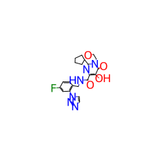 O=C(NCc1ccc(F)cc1-n1ccnn1)c1nc2n(c(=O)c1O)CCOC21CCCC1